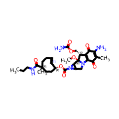 CCCNC(=O)[C@]1(C)CC/C=C/[C@H](OC(=O)N2C3CN4C5=C(C(=O)C(N)=C(C)C5=O)[C@@H](COC(N)=O)[C@@]4(OC)C32)CC1